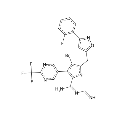 N=C/N=C(/N)c1[nH]c(Cc2cc(-c3ccccc3F)no2)c(Br)c1-c1cnc(C(F)(F)F)nc1